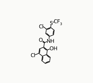 O=C(Nc1ccc(SC(F)(F)F)c(Cl)c1)c1cc(Cl)c2ccccc2c1O